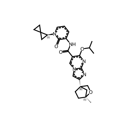 CC(C)Oc1nc2nc([C@@]34CC[C@@](C)(C3)OC4)cn2cc1C(=O)Nc1cccn([C@H]2CC23CC3)c1=O